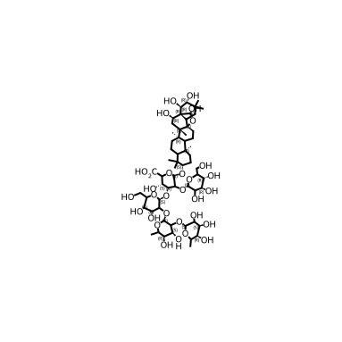 CC1O[C@@H](OC2[C@H](OC3[C@H](O[C@H]4C(O[C@@H]5OC(CO)[C@H](O)[C@@H](O)C5O)[C@H](O[C@H]5CC[C@@]6(C)C(CC[C@]7(C)C6CC[C@]68O[C@H](O)[C@]9(C6CC(C)(C)[C@@H](O)[C@@H]9O)[C@H](O)C[C@]87C)C5(C)C)OC(C(=O)O)[C@H]4O)OC(CO)[C@H](O)[C@H]3O)OC(C)[C@H](O)[C@@H]2O)C(O)[C@@H](O)[C@H]1O